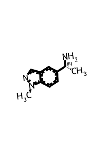 C[C@@H](N)c1ccc2c(cnn2C)c1